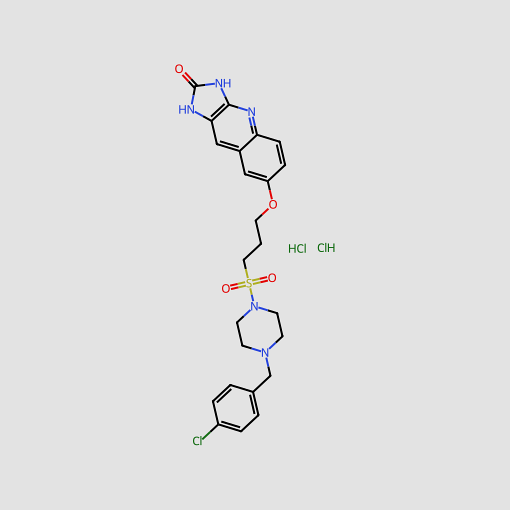 Cl.Cl.O=c1[nH]c2cc3cc(OCCCS(=O)(=O)N4CCN(Cc5ccc(Cl)cc5)CC4)ccc3nc2[nH]1